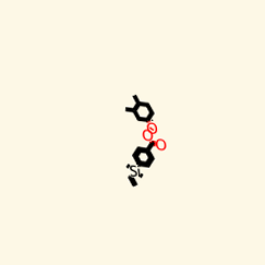 C=C[Si](C)(C)c1ccc(C(=O)OO[C]2CCC(C)C(C)C2)cc1